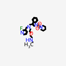 CCNCCOCCN(Cc1cccnc1F)Cc1cn(S(=O)(=O)N2CCCCC2)c2ccccc12